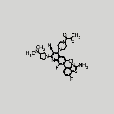 C=C(F)C(=O)N1CCN(c2c(C#N)c(N3CCC(N(C)C)C3)nc3c(F)c(-c4ccc(F)c5sc(N)nc45)c(Cl)cc23)CC1